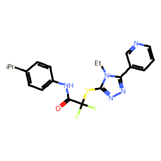 CCn1c(SC(F)(F)C(=O)Nc2ccc(C(C)C)cc2)nnc1-c1cccnc1